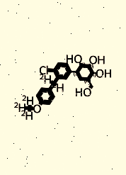 [2H]C([2H])([2H])Oc1ccc(C([2H])([2H])c2cc([C@@H]3C[C@H](CO)[C@@H](O)[C@H](O)[C@H]3O)ccc2Cl)cc1